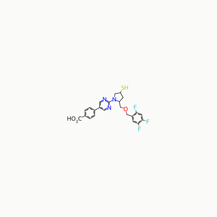 O=C(O)c1ccc(-c2cnc(N3CC(S)CC3COCc3cc(F)c(F)cc3F)nc2)cc1